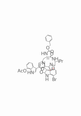 CC(=O)Oc1cccc2c(-c3cnc(-c4nc5oc4C46c7cc(ccc7OC4Nc4c(Br)cccc46)C[C@H](NC(=O)OCc4ccccc4)C(=O)NC5C(C)C)o3)c[nH]c12